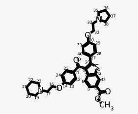 COC(=O)c1ccc2c(C(=O)c3ccc(OCCN4CCCCC4)cc3)c(-c3ccc(OCCN4CCCC4)cc3)sc2c1